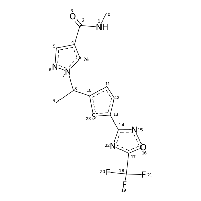 CNC(=O)c1cnn(C(C)c2ccc(-c3noc(C(F)(F)F)n3)s2)c1